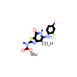 CN(C(=O)OC(C)(C)C)c1nc2c(C(=O)O)c(Nc3ccc(I)cc3F)n(C)c(=O)c2s1